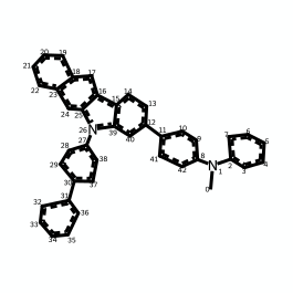 CN(c1ccccc1)c1ccc(-c2ccc3c4cc5ccccc5cc4n(-c4ccc(-c5ccccc5)cc4)c3c2)cc1